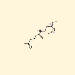 C=C(CCCC(C)=O)NCCC(=C/C)/N=C\C